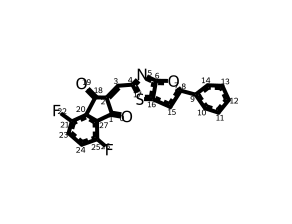 O=C1C(=Cc2nc3oc(-c4ccccc4)cc3s2)C(=O)c2c(F)ccc(F)c21